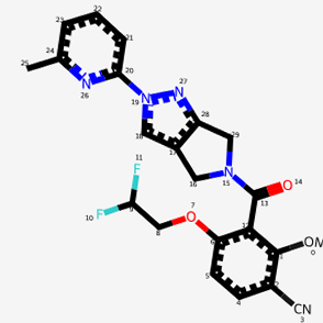 COc1c(C#N)ccc(OCC(F)F)c1C(=O)N1Cc2cn(-c3cccc(C)n3)nc2C1